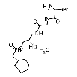 CC(C)[C@H](N)C(=O)NCC(=O)NC[C@H](O)CO[PH](=O)CC1CCCCC1.O